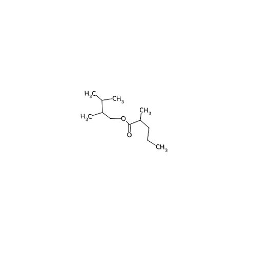 CCCC(C)C(=O)OCC(C)C(C)C